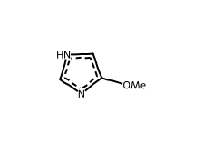 [CH2]Oc1c[nH]cn1